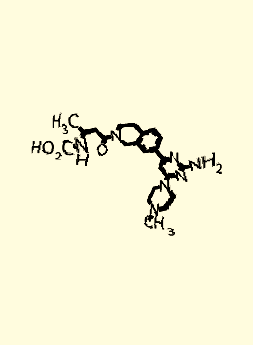 CC(CC(=O)N1CCc2ccc(-c3cc(N4CCN(C)CC4)nc(N)n3)cc2C1)NC(=O)O